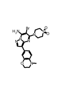 CN1CCOc2cc(-c3cnn4c(N)c(Br)c(N5CCS(=O)(=O)CC5)nc34)ccc21